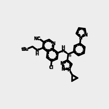 CC(C)(C)CNc1c(C#N)cnc2c(N[C@@H](c3cccc(-n4cccn4)c3)c3cn(C4CC4)nn3)cc(Cl)cc12